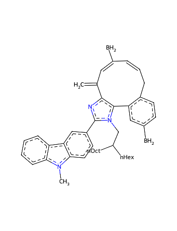 BC1=C/C(=C)c2nc(-c3ccc4c(c3)c3ccccc3n4C)n(CC(CCCCCC)CCCCCCCC)c2-c2cc(B)ccc2C/C=C\1